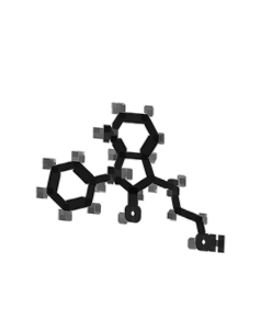 O=C1C(SCCO)c2cccnc2N1c1ccccc1